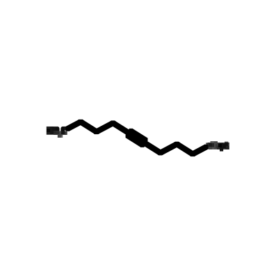 CCCCCCCCCCC#CCCCC(=O)O